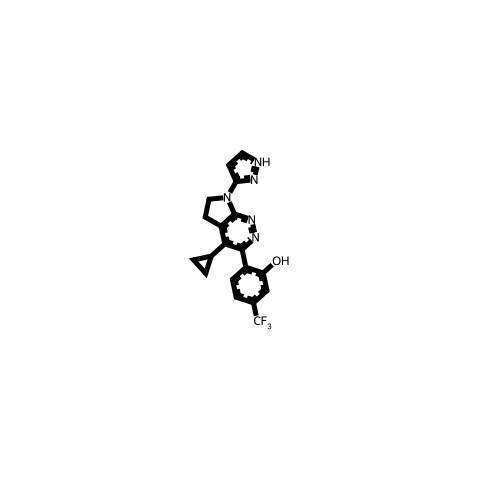 Oc1cc(C(F)(F)F)ccc1-c1nnc2c(c1C1CC1)CCN2c1cc[nH]n1